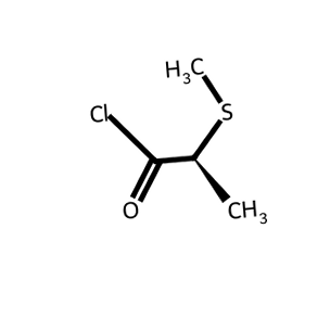 CS[C@@H](C)C(=O)Cl